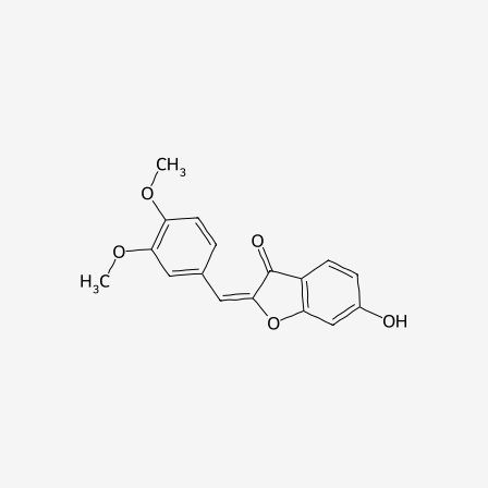 COc1ccc(C=C2Oc3cc(O)ccc3C2=O)cc1OC